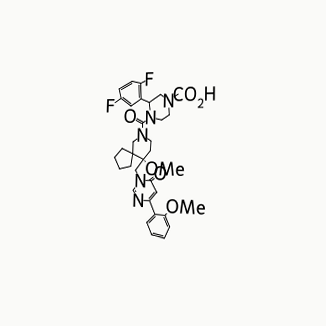 COc1ccccc1-c1cc(=O)n(C[C@]2(OC)CCN(C(=O)N3CCN(C(=O)O)CC3c3cc(F)ccc3F)CC23CCCC3)cn1